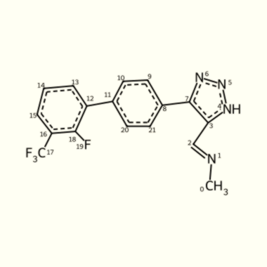 C/N=C/c1[nH]nnc1-c1ccc(-c2cccc(C(F)(F)F)c2F)cc1